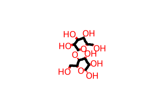 OCC1O[C@H](O[C@@H]2C(CO)O[C@@H](O)C(O)C2O)C(O)C(O)[C@@H]1O